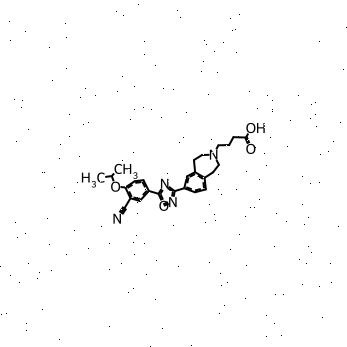 CC(C)Oc1ccc(-c2nc(-c3ccc4c(c3)CCN(CCCC(=O)O)CC4)no2)cc1C#N